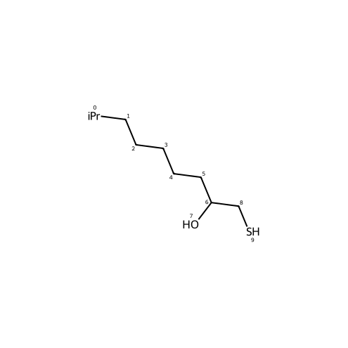 CC(C)CCCCCC(O)CS